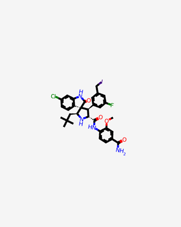 COc1cc(C(N)=O)ccc1NC(=O)[C@@H]1N[C@@H](CC(C)(C)C)[C@@]2(C(=O)Nc3cc(Cl)ccc32)[C@H]1c1cc(F)cc(CI)c1